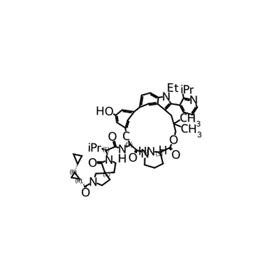 CCn1c(-c2cccnc2C(C)C)c2c3cc(ccc31)-c1cc(O)cc(c1)C[C@H](NC(=O)[C@H](C(C)C)N1CC[C@]3(CCN(C(=O)[C@@H]4C[C@@H]4C4CC4)C3)C1=O)C(=O)N1CCC[C@H](N1)C(=O)OCC(C)(C)C2